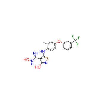 Cc1cc(Oc2cccc(C(F)(F)F)c2)ccc1Nc1snc(O)c1C(=N)NO